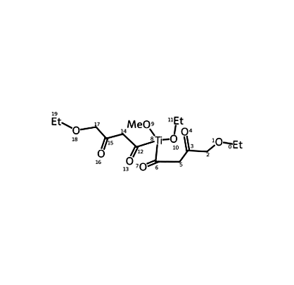 CCOCC(=O)C[C](=O)[Ti]([O]C)([O]CC)[C](=O)CC(=O)COCC